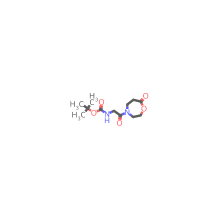 CC(C)(C)OC(=O)NCC(=O)N1CCOC(=O)CC1